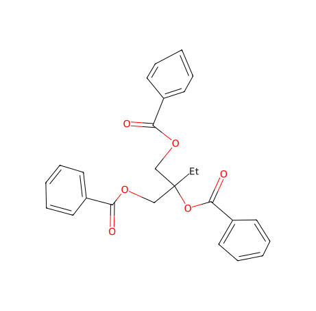 CCC(COC(=O)c1ccccc1)(COC(=O)c1ccccc1)OC(=O)c1ccccc1